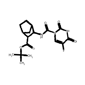 CC(C)(C)OC(=O)C1C2CCC(C2)C1NC(=O)n1cc(F)c(=O)[nH]c1=O